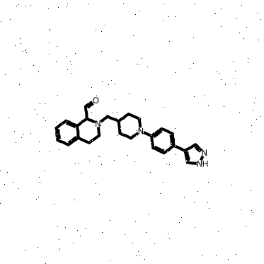 O=CC1c2ccccc2CCN1CC1CCN(c2ccc(-c3cn[nH]c3)cc2)CC1